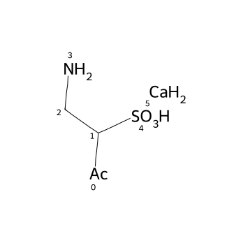 CC(=O)C(CN)S(=O)(=O)O.[CaH2]